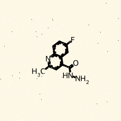 Cc1cc(C(=O)NN)c2cc(F)ccc2n1